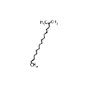 C[CH]CCCCCCCCCCCCCC(C)C